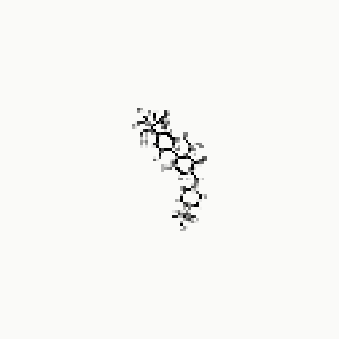 Cc1cc(C(O)(C(F)(F)F)C(F)(F)F)ccc1-c1c(F)cc(CN2CCN(S(C)(=O)=O)CC2)c(F)c1C(C)C